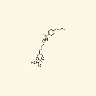 CCCCc1ccc(C(C)=NOCCCCC2COC(C)(C(=O)O)OC2)cc1